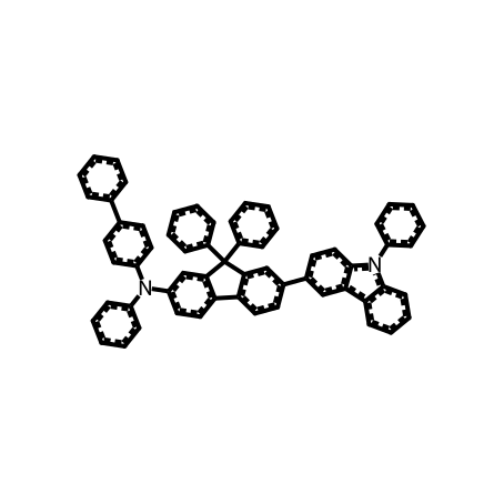 c1ccc(-c2ccc(N(c3ccccc3)c3ccc4c(c3)C(c3ccccc3)(c3ccccc3)c3cc(-c5ccc6c(c5)c5ccccc5n6-c5ccccc5)ccc3-4)cc2)cc1